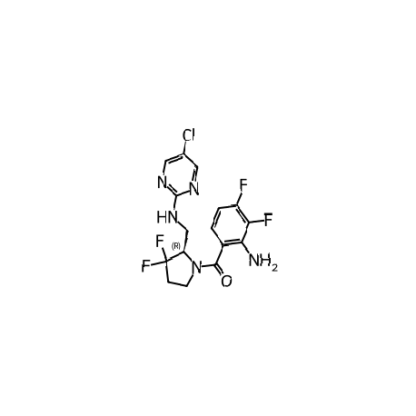 Nc1c(C(=O)N2CCC(F)(F)[C@H]2CNc2ncc(Cl)cn2)ccc(F)c1F